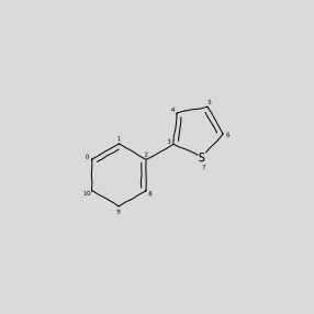 C1=CC(c2cccs2)=CCC1